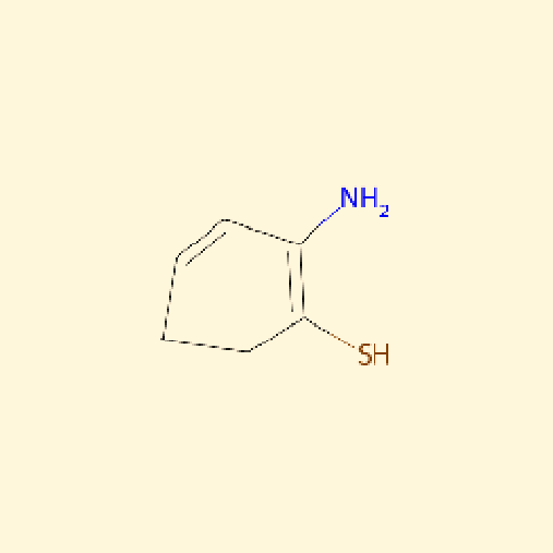 NC1=C(S)CCC=C1